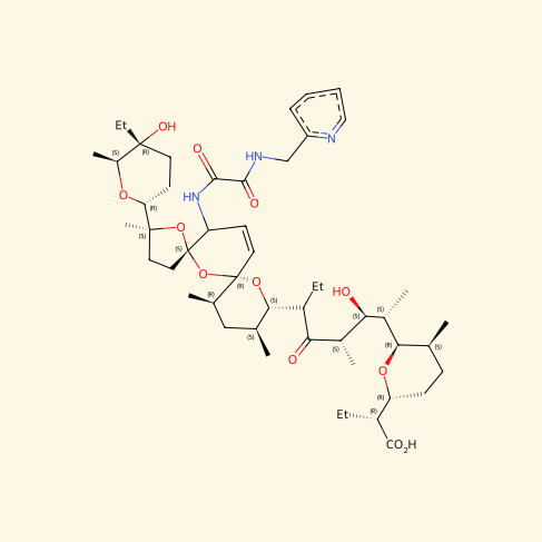 CCC(C(=O)[C@@H](C)[C@@H](O)[C@H](C)[C@@H]1O[C@@H]([C@@H](CC)C(=O)O)CC[C@@H]1C)[C@H]1O[C@]2(C=CC(NC(=O)C(=O)NCc3ccccn3)[C@]3(CC[C@@](C)([C@H]4CC[C@](O)(CC)[C@H](C)O4)O3)O2)[C@H](C)C[C@@H]1C